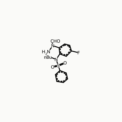 CCCCN(c1cc(F)ccc1N(N)C=O)S(=O)(=O)c1ccccc1